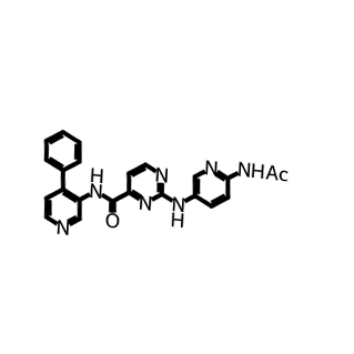 CC(=O)Nc1ccc(Nc2nccc(C(=O)Nc3cnccc3-c3ccccc3)n2)cn1